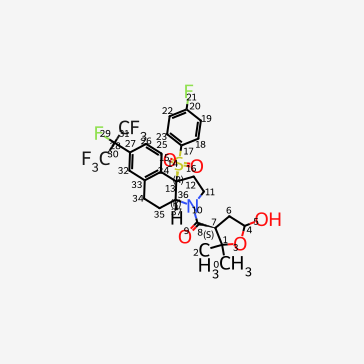 CC1(C)OC(O)C[C@@H]1C(=O)N1CC[C@@]2(S(=O)(=O)c3ccc(F)cc3)c3ccc(C(F)(C(F)(F)F)C(F)(F)F)cc3CC[C@@H]12